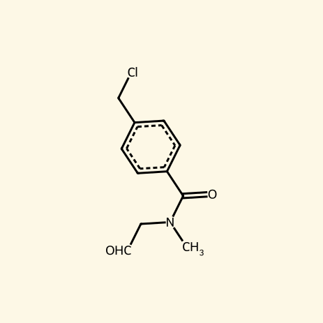 CN(CC=O)C(=O)c1ccc(CCl)cc1